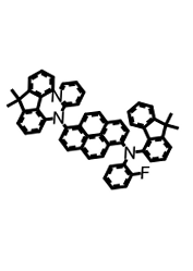 CC1(C)c2ccccc2-c2c(N(c3ccccn3)c3ccc4ccc5c(N(c6ccccc6F)c6cccc7c6-c6ccccc6C7(C)C)ccc6ccc3c4c65)cccc21